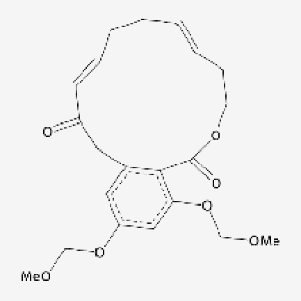 COCOc1cc2c(c(OCOC)c1)C(=O)OCC/C=C/CC/C=C/C(=O)C2